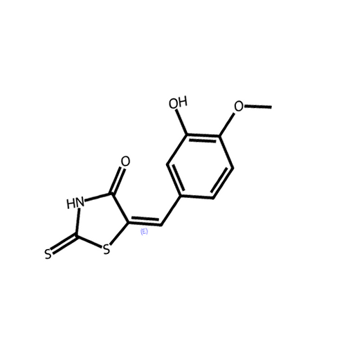 COc1ccc(/C=C2/SC(=S)NC2=O)cc1O